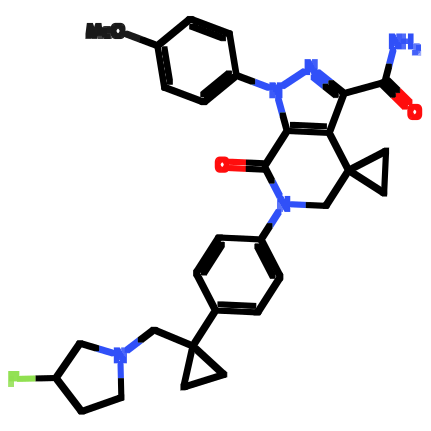 COc1ccc(-n2nc(C(N)=O)c3c2C(=O)N(c2ccc(C4(CN5CCC(F)C5)CC4)cc2)CC32CC2)cc1